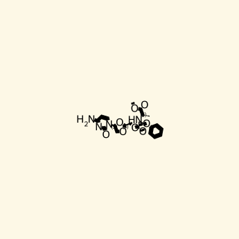 COC(=O)[C@H](C)NP(=O)(OC[C@H]1OC[C@@H](n2ccc(N)nc2=O)O1)Oc1ccccc1